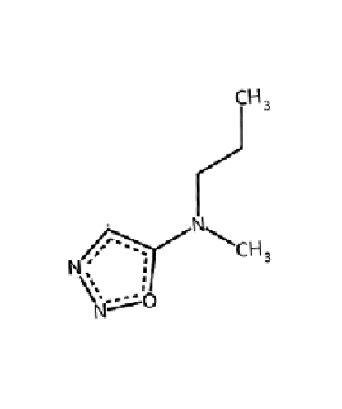 CCCN(C)c1[c]nno1